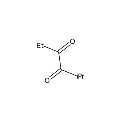 [CH2]C(C)C(=O)C(=O)CC